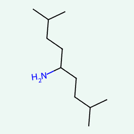 CC(C)CCC(N)CCC(C)C